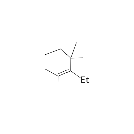 CCC1=C(C)CCCC1(C)C